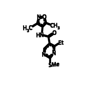 CCc1nc(SC)ncc1C(=O)Nc1c(C)noc1C